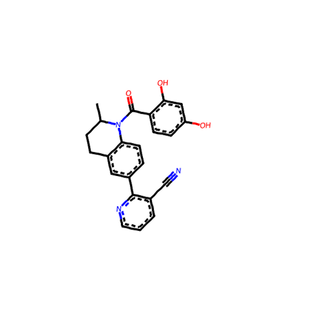 CC1CCc2cc(-c3ncccc3C#N)ccc2N1C(=O)c1ccc(O)cc1O